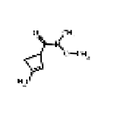 CON(C)C(=O)C1C=C(C)C1